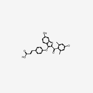 Cc1cc(Cl)cc(C)c1C(=O)c1sc2cc(O)ccc2c1Oc1ccc(C=CC(=O)O)cc1